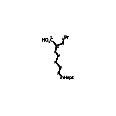 CCCCCCCCCCCCC(CC(C)C)C(=O)O